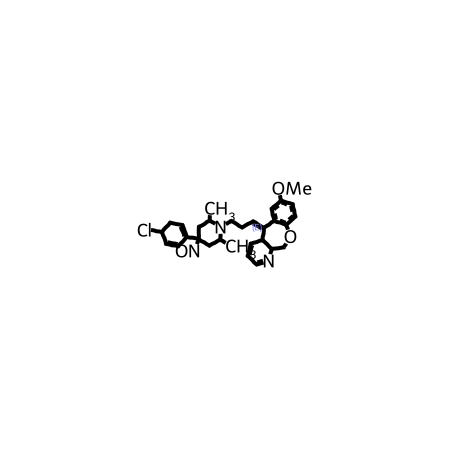 COc1ccc2c(c1)/C(=C/CCN1C(C)CC(N=O)(C3=CCC(Cl)C=C3)CC1C)C1C=CC=NC1CO2